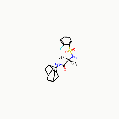 CC(C)(NS(=O)(=O)c1ccccc1F)C(=O)NC1C2CC3CC(C2)CC1C3